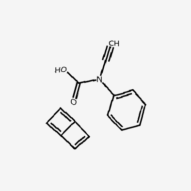 C#CN(C(=O)O)c1ccccc1.c1cc2ccc1-2